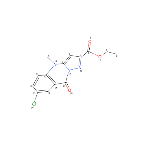 CCOC(=O)c1cc2n(C)c3ccc(Cl)cc3c(=O)n2n1